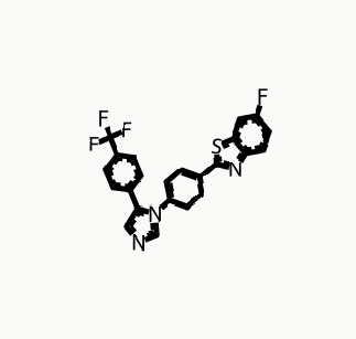 Fc1ccc2nc(C3=CC=C(n4cncc4-c4ccc(C(F)(F)F)cc4)CC3)sc2c1